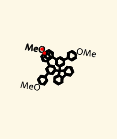 COc1ccc(-c2cc(-c3ccc(OC)cc3)cc(C3(c4cc(-c5ccc(OC)cc5)cc(-c5ccc(OC)cc5)c4)c4ccccc4-c4ccccc43)c2)cc1